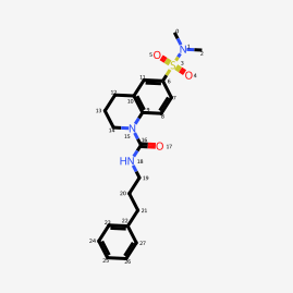 CN(C)S(=O)(=O)c1ccc2c(c1)CCCN2C(=O)NCCCc1ccccc1